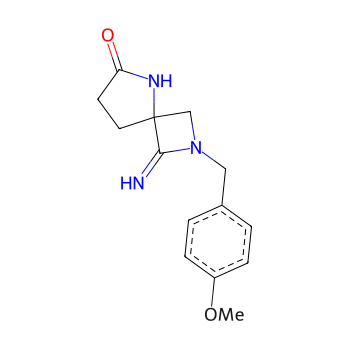 COc1ccc(CN2CC3(CCC(=O)N3)C2=N)cc1